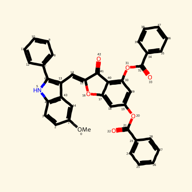 COc1ccc2[nH]c(-c3ccccc3)c(C=C3Oc4cc(OC(=O)c5ccccc5)cc(OC(=O)c5ccccc5)c4C3=O)c2c1